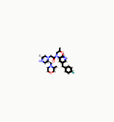 CC1CN(C(=O)CN2C[C@@H](C)NC[C@@H]2CN2CCOCC2C)c2cc(Cc3ccc(F)cc3)cnc2O1